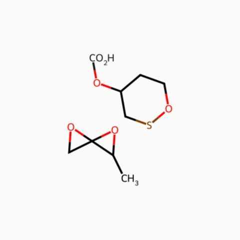 CC1OC12CO2.O=C(O)OC1CCOSC1